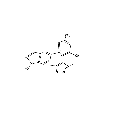 Cc1noc(C)c1-c1c(O)cc(C(F)(F)F)cc1-c1ccc2c(cnn2O)c1